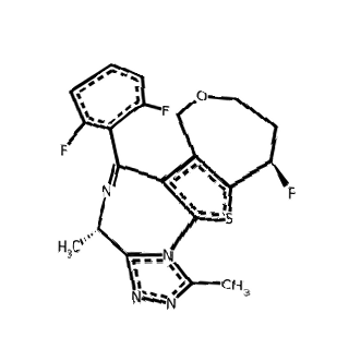 Cc1nnc2n1-c1sc3c(c1C(c1c(F)cccc1F)=N[C@H]2C)COCC[C@H]3F